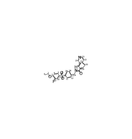 CCOc1ccc(S(=O)(=O)c2ccc(CNC(=O)c3ccc4ccncc4c3)cc2)cc1F